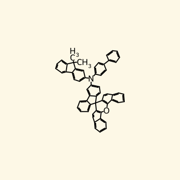 CC1(C)c2ccccc2-c2ccc(N(c3ccc(-c4ccccc4)cc3)c3ccc4c(c3)-c3ccccc3C43c4ccc5ccccc5c4Oc4c3ccc3ccccc43)cc21